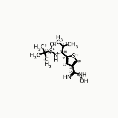 CC(C)[C@@H](N[S@@+]([O-])C(C)(C)C)c1cc(C(=N)NO)cs1